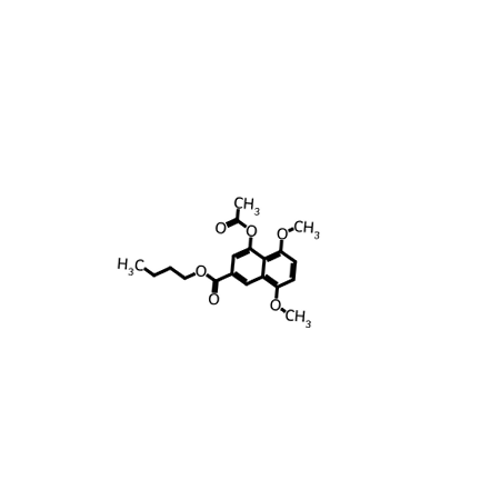 CCCCOC(=O)c1cc(OC(C)=O)c2c(OC)ccc(OC)c2c1